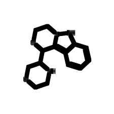 C1=CC2=C3C(C4COCCN4)OCCN3NC2C=C1